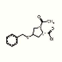 CC(=O)N1CC(SCc2ccccc2)C[C@H]1C(=O)O